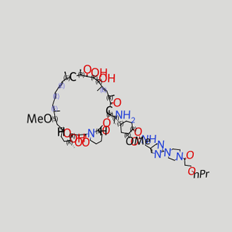 CCCOCCC(=O)N1CCN(c2ncc(CNC(=O)O[C@@H]3CC[C@@H](C[C@@H](N)[C@@H]4CC(=O)[C@H](C)/C=C(\C)[C@@H](O)[C@@H](O)C(=O)[C@H](C)C[C@H](C)/C=C/C=C/C=C(\C)[C@@H](OC)C[C@@H]5CC[C@@H](C)[C@@](O)(O5)C(=O)C(=O)N5CCCC[C@H]5C(=O)O4)C[C@H]3OC)cn2)CC1